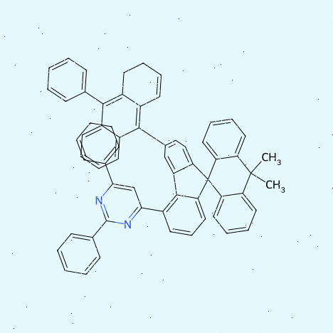 CC1(C)c2ccccc2C2(c3ccc(-c4c5c(c(-c6ccccc6)c6ccccc46)CCC=C5)cc3-c3c(-c4cc(C5=CCCC=C5)nc(-c5ccccc5)n4)cccc32)c2ccccc21